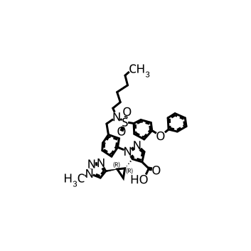 CCCCCCN(Cc1cccc(-n2ncc(C(=O)O)c2[C@@H]2C[C@H]2c2cn(C)nn2)c1)S(=O)(=O)c1ccc(Oc2ccccc2)cc1